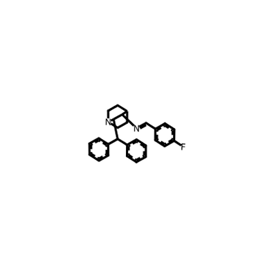 Fc1ccc(C=NC2C3CCN(CC3)C2C(c2ccccc2)c2ccccc2)cc1